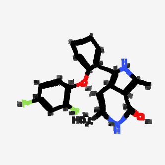 Cc1[nH]c(-c2ccccc2Oc2ccc(F)cc2F)c2cc(C(=O)O)[nH]c(=O)c12